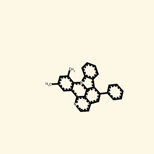 Cc1cc(C)c2c(c1)c1nccc3cc(-c4ccccc4)c4c5ccccc5n2c4c31